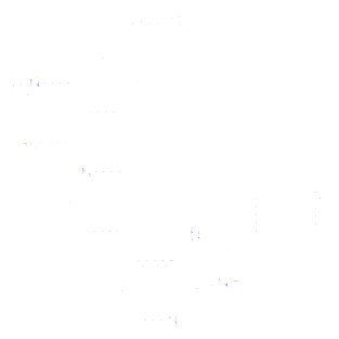 Nc1cc(OC(F)(F)F)ccc1C(O)N1CCC(c2ccnc3[nH]c(C4CCOCC4)nc23)CC1